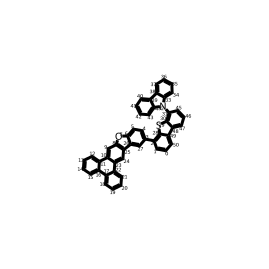 c1cc(-c2ccc3oc4cc5c6ccccc6c6ccccc6c5cc4c3c2)c2sc3c(-n4c5ccccc5c5ccccc54)cccc3c2c1